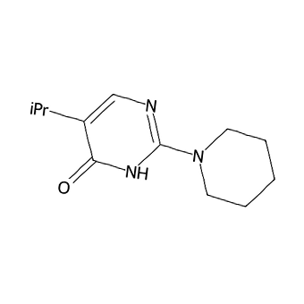 CC(C)c1cnc(N2CCCCC2)[nH]c1=O